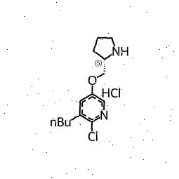 CCCCc1cc(OC[C@@H]2CCCN2)cnc1Cl.Cl